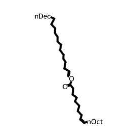 CCCCCCCC/C=C\CCCCCCCC(=O)OC=CCCCCCCCCCCCCCCCCCCCCCC